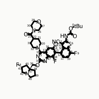 CC(C)(C)OC(=O)Nc1sc2c(F)ccc(-c3c(Cl)cc4c(N5CCC(C(=O)N6CCOCC6)CC5)nc(OC[C@@]56CCCN5C[C@H](F)C6)nc4c3F)c2c1C#N